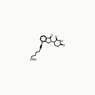 COCCCCC#Cc1cccc2c1CN(C1CCC(=O)NC1=O)C2=O